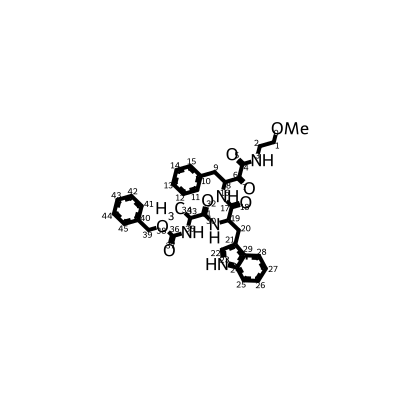 COCCNC(=O)C(=O)C(Cc1ccccc1)NC(=O)C(Cc1c[nH]c2ccccc12)NC(=O)C(C)NC(=O)OCc1ccccc1